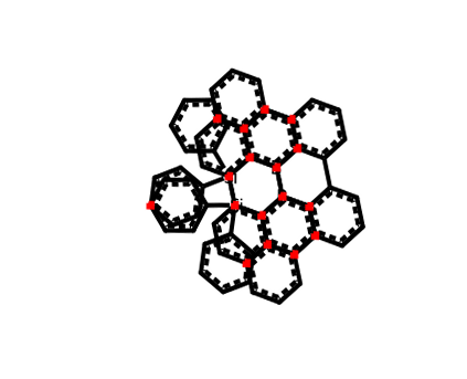 c1ccc(-c2cccc(-c3cccc(-c4ccccc4)c3B3c4ccccc4[Si](c4ccccc4)(c4ccccc4)c4ccccc43)c2B2c3ccccc3[Si](c3ccccc3)(c3ccccc3)c3ccccc32)cc1